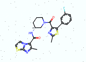 Cc1nc(C(=O)N2CCC[C@@H](NC(=O)c3c(C)nc4sccn34)C2)c(-c2cccc(F)c2)s1